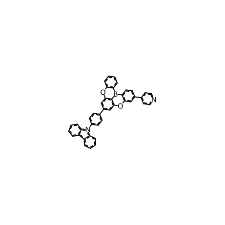 c1ccc2c(c1)Oc1cc(-c3ccc(-n4c5ccccc5c5ccccc54)cc3)cc3c1B2c1ccc(-c2ccncc2)cc1O3